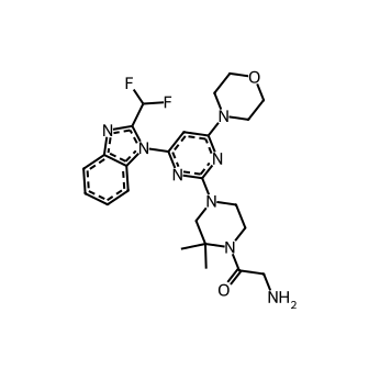 CC1(C)CN(c2nc(N3CCOCC3)cc(-n3c(C(F)F)nc4ccccc43)n2)CCN1C(=O)CN